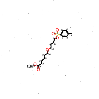 Cc1ccc(S(=O)(=O)OCCCCOCCCCCC(=O)OC(C)(C)C)cc1